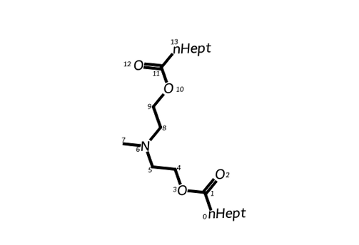 CCCCCCCC(=O)OCCN(C)CCOC(=O)CCCCCCC